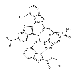 CCOC(=O)c1sc2cccc(C)c2c1-c1nc2cc(C(N)=O)ccc2n1CCn1c(-c2c(C(=O)OCC)sc3cccc(C)c23)nc2cc(C(N)=O)ccc21